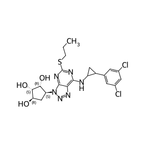 CCCSc1nc(NC2CC2c2cc(Cl)cc(Cl)c2)c2nnn([C@H]3C[C@@H](O)[C@H](O)[C@@H]3O)c2n1